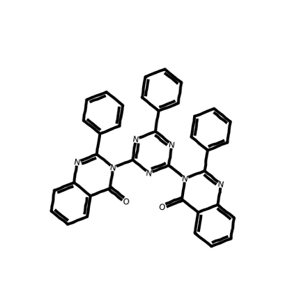 O=c1c2ccccc2nc(-c2ccccc2)n1-c1nc(-c2ccccc2)nc(-n2c(-c3ccccc3)nc3ccccc3c2=O)n1